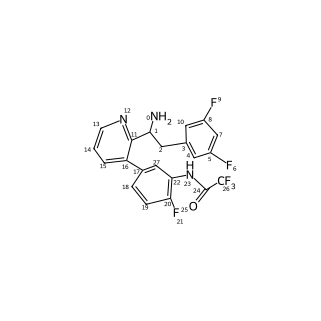 NC(Cc1cc(F)cc(F)c1)c1ncccc1-c1ccc(F)c(NC(=O)C(F)(F)F)c1